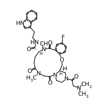 CN(C)CC(=O)N1CCN2C(=O)CN(C)C(=O)CC[C@H](C(=O)NCCc3c[nH]c4ccccc34)N(C)C(=O)c3cc(F)ccc3OC[C@H]2C1